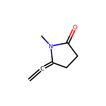 C=C=C1CCC(=O)N1C